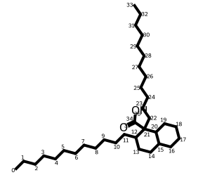 CCCCCCCCCCCCC1CCC2CCCCC2C1(CCCCCCCCCCCC)C(=O)O